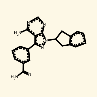 NC(=O)c1cccc(-c2nn(C3Cc4ccccc4C3)c3ncnc(N)c23)c1